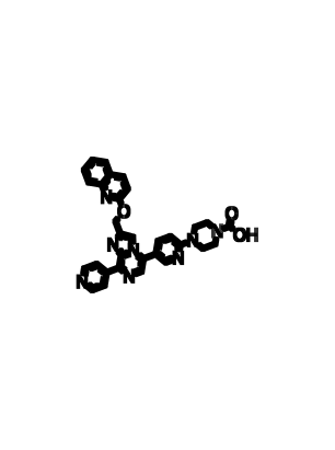 O=C(O)N1CCN(c2ccc(-c3cnc(-c4ccncc4)c4nc(COc5ccc6ccccc6n5)cn34)cn2)CC1